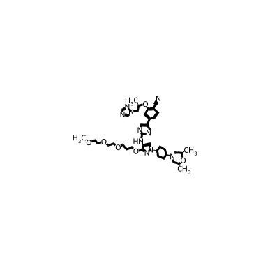 COCCOCCOCCCOc1nn([C@H]2CC[C@H](N3C[C@@H](C)O[C@@H](C)C3)CC2)cc1Nc1ncc(-c2ccc(C#N)c(O[C@@H](C)Cn3cncn3)c2)cn1